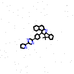 CC1(C)c2ccccc2-c2nc3ccc4ccccc4c3c(-c3ccc(-c4cnc(-c5ccccn5)cn4)cc3)c21